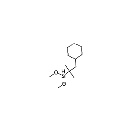 CO[SiH](OC)C(C)(C)CC1CCCCC1